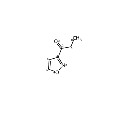 CCC(=O)c1ccon1